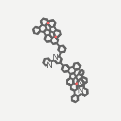 c1ccc(-c2cc(-c3ccc4c5c(c6ccccc6c4c3)C3(c4ccccc4-c4ccccc43)c3c-5ccc4cc(-c5ccccc5-c5cccc(-c6ccccn6)n5)ccc34)cc(-c3cccc(-c4ccc5c6c(ccc5c4)-c4c(c5ccccc5c5ccccc45)C64c5ccccc5-c5ccccc54)c3)n2)nc1